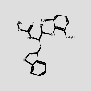 CC(C)(C)OC(=O)N[C@@H](Cc1c[nH]c2ccccc12)C(C#N)Nc1c(C(=O)O)cccc1C(C)(C)C